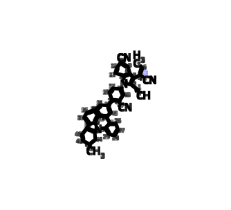 C#Cc1c(/C(C#N)=C\C)c2cc(C#N)ccc2n1-c1ccc(-c2cccc(-c3ccccc3-n3c4c(c5ccccc53)C=CC(C)C4)c2)c(C#N)c1